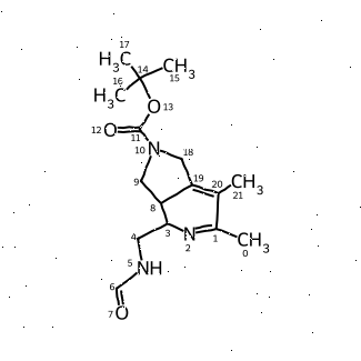 CC1=NC(CNC=O)C2CN(C(=O)OC(C)(C)C)CC2=C1C